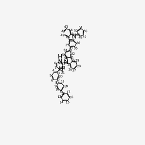 C1=CC2(c3cccc(-c4ccc(-c5ccccc5)cc4)c3)C[C@@H]2C(n2c3ccccc3c3cc(-c4ccc5c(c4)c4ccccc4n5-c4ccccc4)ccc32)N1